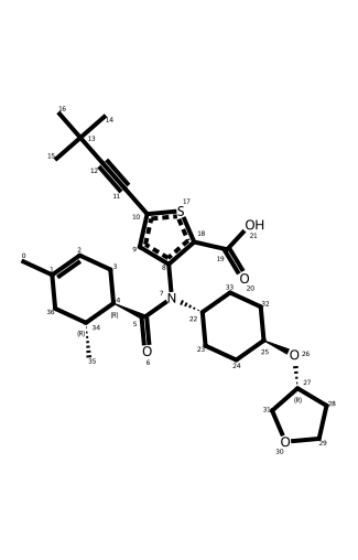 CC1=CC[C@@H](C(=O)N(c2cc(C#CC(C)(C)C)sc2C(=O)O)[C@H]2CC[C@H](O[C@@H]3CCOC3)CC2)[C@H](C)C1